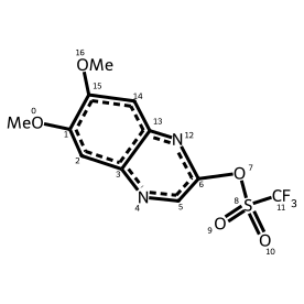 COc1cc2ncc(OS(=O)(=O)C(F)(F)F)nc2cc1OC